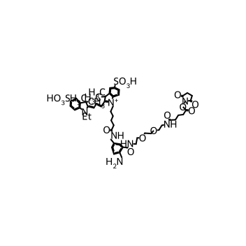 CCN1/C(=C/C=C/C2=[N+](CCCCCC(=O)NCc3ccc(CN)c(C(=O)NCCOCCOCCNC(=O)CCCC(=O)ON4C(=O)CCC4=O)c3)c3ccc(S(=O)(=O)O)cc3C2(C)C)C(C)(C)c2cc(S(=O)(=O)O)ccc21